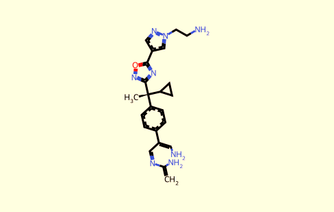 C=C(N)/N=C\C(=C/N)c1ccc([C@](C)(c2noc(-c3cnn(CCN)c3)n2)C2CC2)cc1